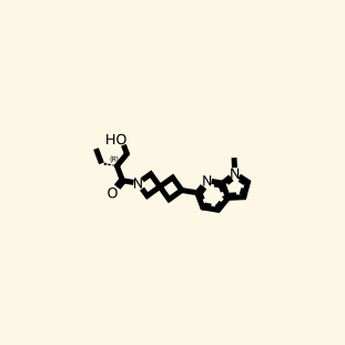 CC[C@H](CO)C(=O)N1CC2(CC(c3ccc4ccn(C)c4n3)C2)C1